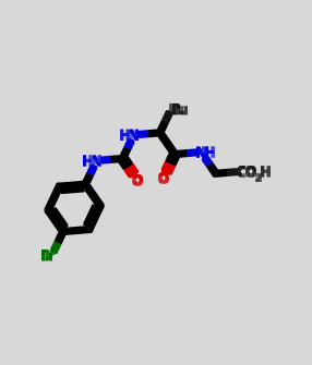 CCC(C)C(NC(=O)Nc1ccc(Br)cc1)C(=O)NCC(=O)O